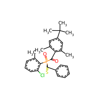 Cc1cc(C(C)(C)C)cc(C)c1C(=O)P(=O)(C(=S)c1ccccc1)c1c(C)cccc1Cl